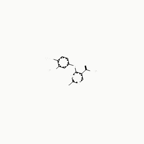 COC(=O)c1cnc(Cl)nc1Nc1ccc(OC)c(OC)c1